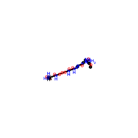 NC(=O)c1c(-c2ccc(Oc3ccccc3)cc2)nn2c1NCC[C@H]2C1CCN(C(=O)/C=C/CN2CCN(CCNC(=O)CCCC(=O)NCCCOCCOCCOCCCNC(=O)CCCC[C@H]3SC[C@H]4NC(=O)N[C@H]43)CC2)CC1